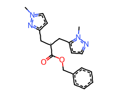 Cn1ccc(C[C](Cc2ccnn2C)C(=O)OCc2ccccc2)n1